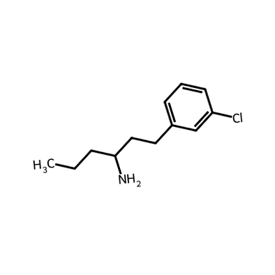 CCCC(N)CCc1cccc(Cl)c1